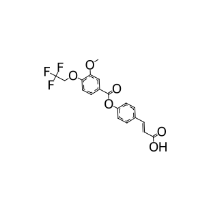 COc1cc(C(=O)Oc2ccc(C=CC(=O)O)cc2)ccc1OCC(F)(F)F